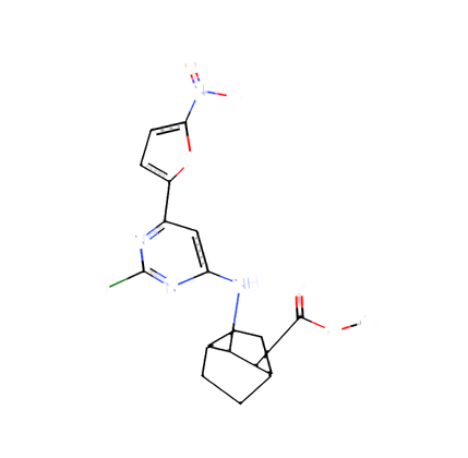 COC(=O)C1C2CCC(CC2)C1Nc1cc(-c2ccc([N+](=O)[O-])o2)nc(Cl)n1